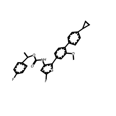 COc1cc(-c2sc(F)cc2NC(=O)OC(C)c2ccc(F)cc2)ccc1-c1ccc(C2CC2)cc1